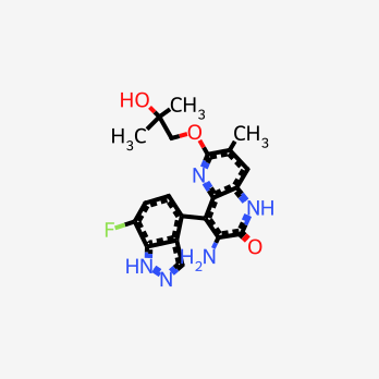 Cc1cc2[nH]c(=O)c(N)c(-c3ccc(F)c4[nH]ncc34)c2nc1OCC(C)(C)O